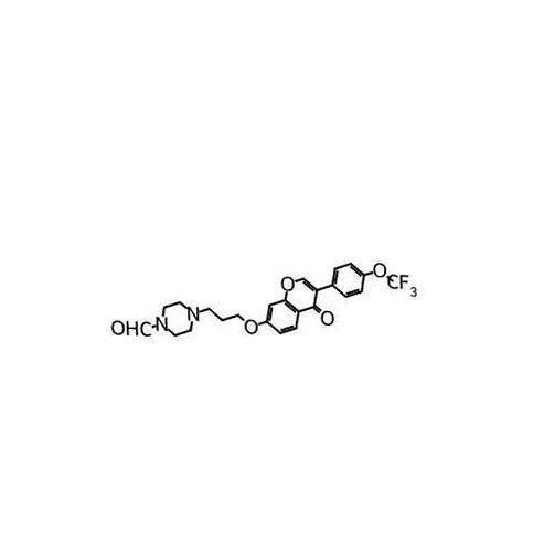 O=CN1CCN(CCCOc2ccc3c(=O)c(-c4ccc(OC(F)(F)F)cc4)coc3c2)CC1